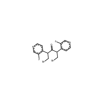 O=C(C(CBr)c1ccncc1F)C(CBr)c1ccncc1F